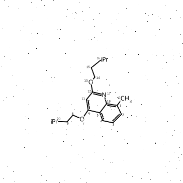 Cc1cccc2c(OCCC(C)C)cc(OCCC(C)C)nc12